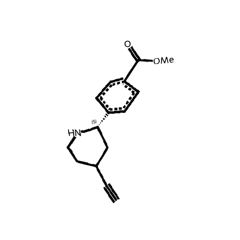 C#CC1CCN[C@H](c2ccc(C(=O)OC)cc2)C1